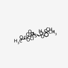 CC(=O)COC(=O)C(=O)C(Cl)N1C(=O)C[C@H]1SC=CC(=O)OC1CCCC(C)(C(C)C)C1